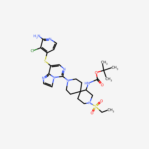 CCS(=O)(=O)N1CCC2(CCN(c3ncc(Sc4ccnc(N)c4Cl)c4nccn34)CC2)C(NC(=O)OC(C)(C)C)C1